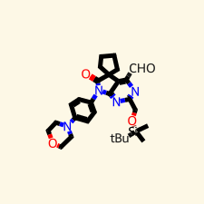 CC(C)(C)[Si](C)(C)OCc1nc(C=O)c2c(n1)N(c1ccc(N3CCOCC3)cc1)C(=O)C21CCCC1